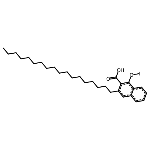 CCCCCCCCCCCCCCCCCCc1cc2ccccc2c(OI)c1C(=O)O